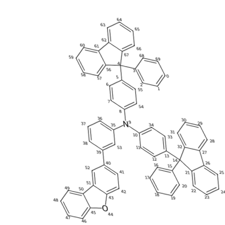 c1ccc(C2(c3ccc(N(c4ccc(C5(c6ccccc6)c6ccccc6-c6ccccc65)cc4)c4cccc(-c5ccc6oc7ccccc7c6c5)c4)cc3)c3ccccc3-c3ccccc32)cc1